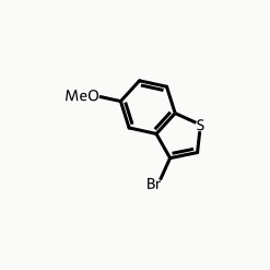 COc1ccc2scc(Br)c2c1